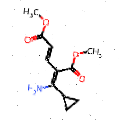 COC(=O)C=CC(C(=O)OC)=C(N)C1CC1